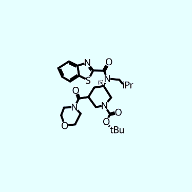 CC(C)CN(C(=O)c1nc2ccccc2s1)[C@H]1CC(C(=O)N2CCOCC2)CN(C(=O)OC(C)(C)C)C1